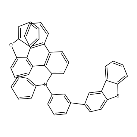 c1ccc(-c2cccc(N(c3ccccc3)c3cccc(-c4ccc5sc6ccccc6c5c4)c3)c2-c2cccc3oc4ccccc4c23)cc1